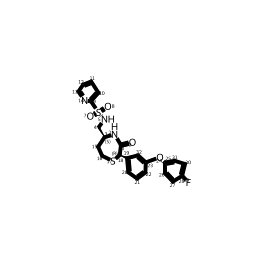 O=C1N[C@H](CNS(=O)(=O)c2ccccn2)CCS[C@@H]1c1cccc(Oc2ccc(F)cc2)c1